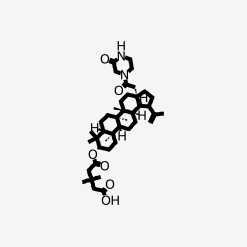 C=C(C)C1CC[C@]2(CC(=O)N3CCNC(=O)C3)CC[C@]3(C)[C@H](CC[C@@H]4[C@@]5(C)CC[C@H](OC(=O)CC(C)(C)CC(=O)O)C(C)(C)[C@@H]5CC[C@]43C)[C@@H]12